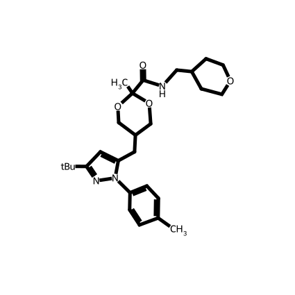 Cc1ccc(-n2nc(C(C)(C)C)cc2CC2COC(C)(C(=O)NCC3CCOCC3)OC2)cc1